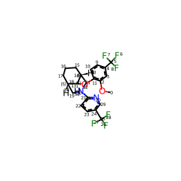 COc1cc(C(F)(F)F)ccc1O[C@@H]1[C@@H]2CCC[C@H]1CN(c1ccc(C(F)(F)F)cn1)C2